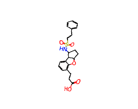 O=C(O)CCc1cccc2c1OC1CCC(NS(=O)(=O)CCc3ccccc3)C21